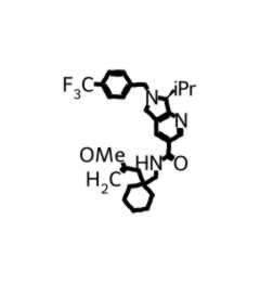 C=C(CC1(CNC(=O)c2cnc3c(c2)CN(Cc2ccc(C(F)(F)F)cc2)[C@H]3C(C)C)CCCCC1)OC